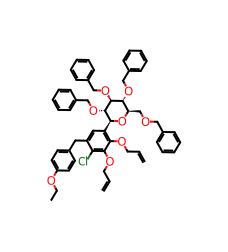 C=CCOc1c([C@@H]2O[C@H](COCc3ccccc3)[C@@H](OCc3ccccc3)[C@H](OCc3ccccc3)[C@H]2OCc2ccccc2)cc(Cc2ccc(OCC)cc2)c(Cl)c1OCC=C